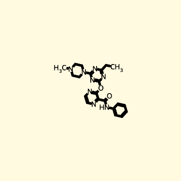 CCc1nc(Oc2nccnc2C(=O)Nc2ccccc2)nc(N2CCN(C)CC2)n1